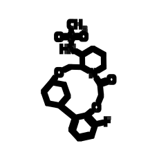 CS(=O)(=O)NC1CCCN2C(=O)COc3c(F)cccc3C3CCC(CC3)OCC12